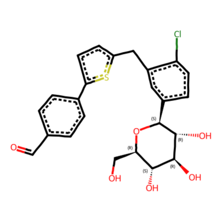 O=Cc1ccc(-c2ccc(Cc3cc([C@@H]4O[C@H](CO)[C@@H](O)[C@H](O)[C@H]4O)ccc3Cl)s2)cc1